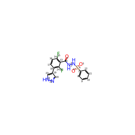 O=C(NNS(=O)(=O)c1ccccc1)c1c(F)ccc(-c2cn[nH]c2)c1F